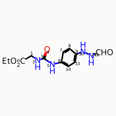 CCOC(=O)CNC(=O)Nc1ccc(NNC=O)cc1